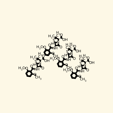 COc1cccc(OC)c1C(=O)N[C@@H]1C(=O)N2[C@@H]1SC(C)(C)[C@@H]2C(=O)O.COc1cccc(OC)c1C(=O)N[C@@H]1C(=O)N2[C@@H]1SC(C)(C)[C@@H]2C(=O)O.COc1cccc(OC)c1C(=O)N[C@@H]1C(=O)N2[C@@H]1SC(C)(C)[C@@H]2C(=O)O.COc1cccc(OC)c1C(=O)N[C@@H]1C(=O)N2[C@@H]1SC(C)(C)[C@@H]2C(=O)O